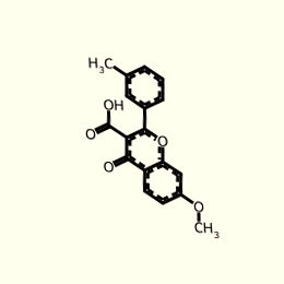 COc1ccc2c(=O)c(C(=O)O)c(-c3cccc(C)c3)oc2c1